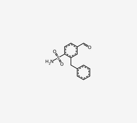 NS(=O)(=O)c1ccc(C=O)cc1Cc1ccccc1